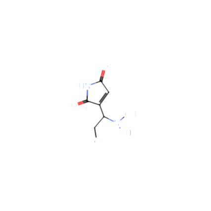 CCC(C1=CC(=O)NC1=O)N(C)C